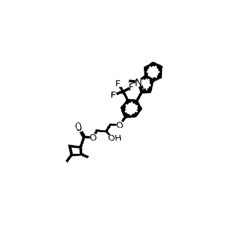 CC1CC(C(=O)OCC(O)COc2ccc(-c3cc4ccccc4n3C)c(C(F)(F)F)c2)C1C